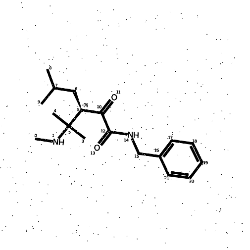 CNC(C)(C)[C@@H](CC(C)C)C(=O)C(=O)NCc1ccccc1